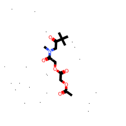 CC(=O)OCC(=O)OCC(=O)N(C)CC(=O)C(C)(C)C